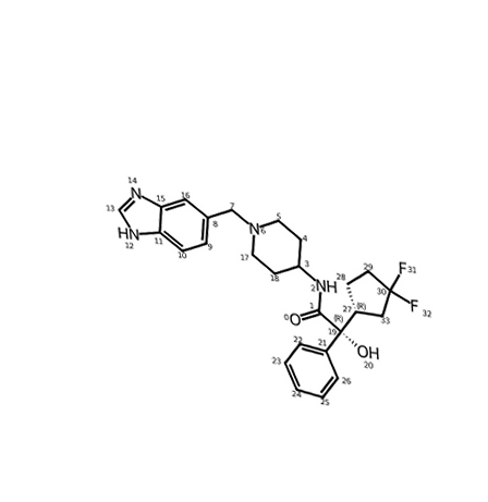 O=C(NC1CCN(Cc2ccc3[nH]cnc3c2)CC1)[C@](O)(c1ccccc1)[C@@H]1CCC(F)(F)C1